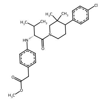 COC(=O)Cc1ccc(N[C@@H](C(=O)N2CCC(c3ccc(Cl)cc3)C(C)(C)C2)C(C)C)cc1